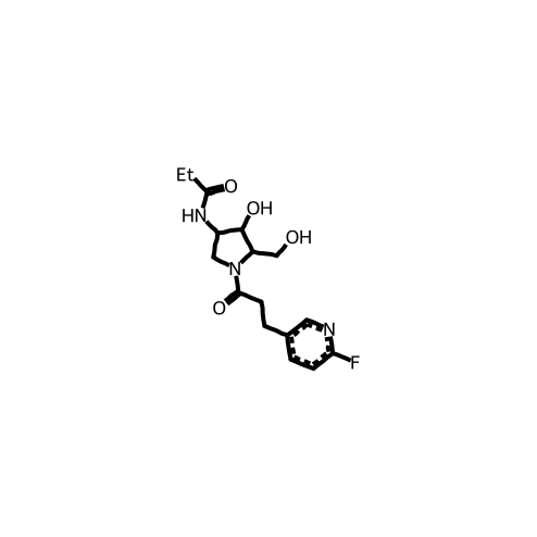 CCC(=O)NC1CN(C(=O)CCc2ccc(F)nc2)C(CO)C1O